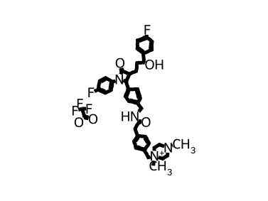 CN1CC[N+](C)(Cc2ccc(CC(=O)NCc3ccc(C4C(CCC(O)c5ccc(F)cc5)C(=O)N4c4ccc(F)cc4)cc3)cc2)CC1.O=C([O-])C(F)(F)F